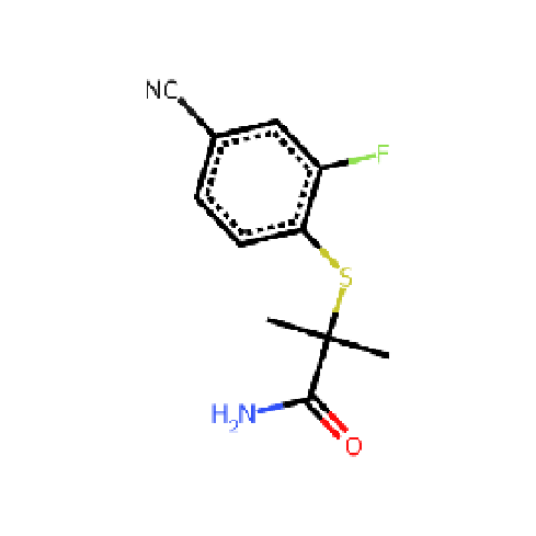 CC(C)(Sc1ccc(C#N)cc1F)C(N)=O